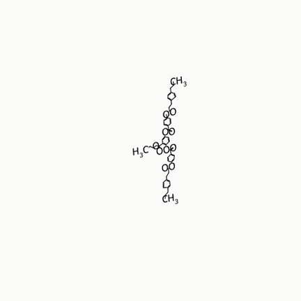 CCCOC(=O)c1cc(OC(=O)c2ccc(OC(=O)CCc3ccc(CCC)cc3)cc2)ccc1OC(=O)c1ccc(OC(=O)CCc2ccc(CCC)cc2)cc1